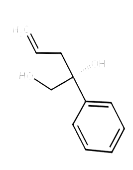 C=CC[C@](O)(CO)c1ccccc1